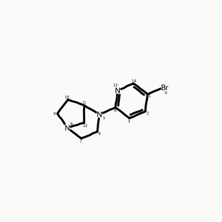 Brc1ccc(N2CCN3CCC2C3)nc1